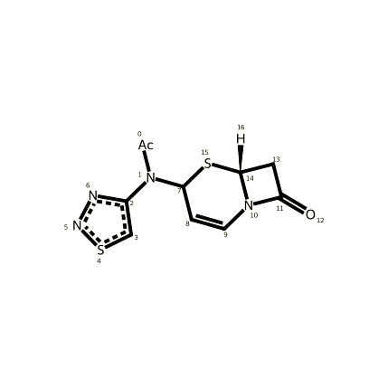 CC(=O)N(c1csnn1)C1C=CN2C(=O)C[C@H]2S1